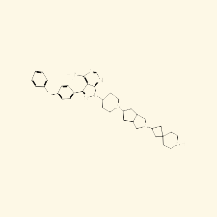 Nc1ncnc2c1c(-c1ccc(Oc3ccccc3)cc1)nn2C1CCN(C2CC3CN(C4CC5(CCNCC5)C4)CC3C2)CC1